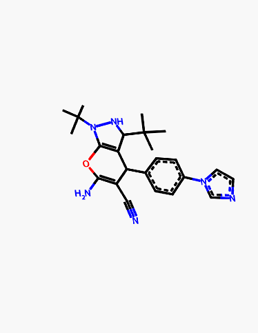 CC(C)(C)C1NN(C(C)(C)C)C2=C1C(c1ccc(-n3ccnc3)cc1)C(C#N)=C(N)O2